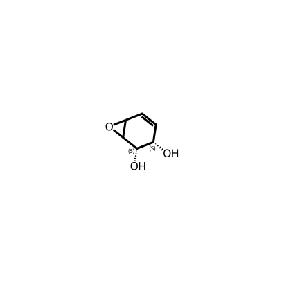 O[C@@H]1C2OC2C=C[C@@H]1O